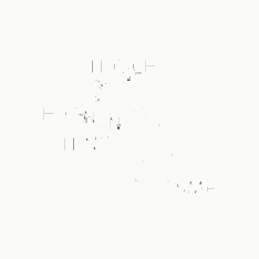 CSc1cccc(-c2ccc3c(c2)C2(CC(C)(C)C3)N=C(N)N(C)C2=O)c1